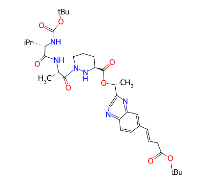 CC(C)[C@H](NC(=O)OC(C)(C)C)C(=O)N[C@@H](C)C(=O)N1CCC[C@@H](C(=O)O[C@H](C)c2cnc3ccc(/C=C/CC(=O)OC(C)(C)C)cc3n2)N1